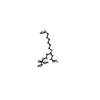 CCCCCCCCCCCCCCCCSC(CCN)CCOP(=O)(O)O